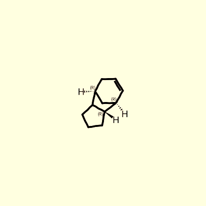 C1=C[C@@H]2C[C@H](C1)C1CCC[C@H]12